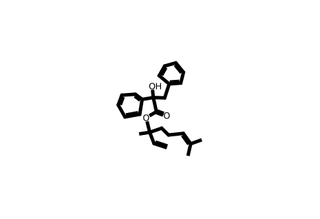 C=CC(C)(CCC=C(C)C)OC(=O)C(O)(Cc1ccccc1)c1ccccc1